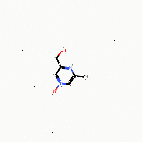 Cc1c[n+]([O-])cc(CO)n1